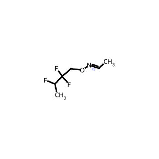 C/C=N/OCC(F)(F)C(C)F